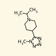 CC(C)N1CCC(c2nnnn2C)CC1